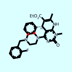 CCOC(=O)C1=C(C)Nc2c(c(N3CCN(Cc4ccccc4F)CC3)nc(=O)n2C)[C@@H]1c1ccccc1